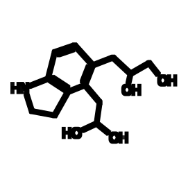 OCC(O)Cc1ccc2c(c1CC(O)O)CCN2